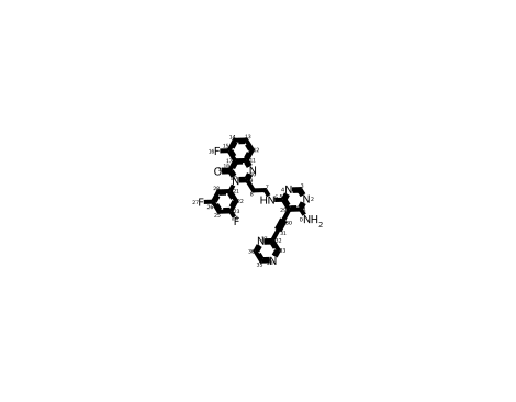 Nc1ncnc(NCCc2nc3cccc(F)c3c(=O)n2-c2cc(F)cc(F)c2)c1C#Cc1cnccn1